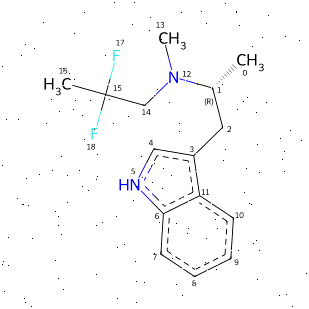 C[C@H](Cc1c[nH]c2ccccc12)N(C)CC(C)(F)F